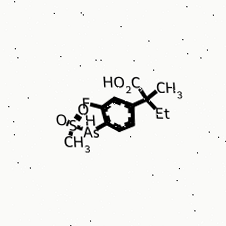 CCC(C)(C(=O)O)c1ccc([AsH]S(C)(=O)=O)c(F)c1